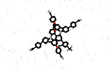 N#Cc1ccc(-c2ccc3c(c2)c2cc(-c4ccc(C#N)cc4)ccc2n3-c2ccc(C#N)cc2-c2ccc(-c3ccc(C(F)(F)F)cc3C#N)cc2-n2c3ccc(-c4ccc(C#N)cc4)cc3c3cc(-c4ccc(C#N)cc4)ccc32)cc1